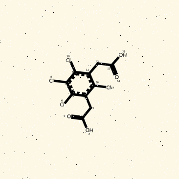 O=C(O)Cc1c(Cl)c(Cl)c(Cl)c(CC(=O)O)c1Cl